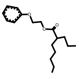 CCCCCC(CCC)C(=O)OCCOc1ccccc1